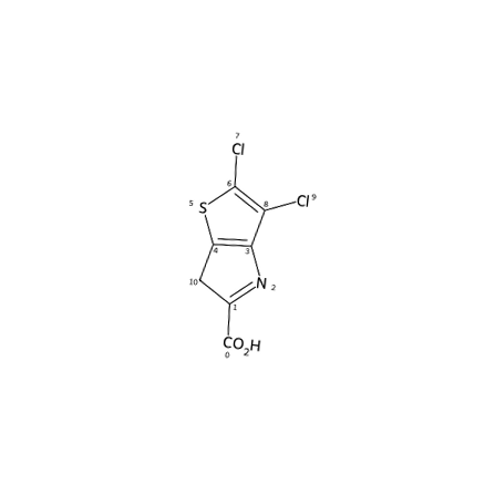 O=C(O)C1=Nc2c(sc(Cl)c2Cl)C1